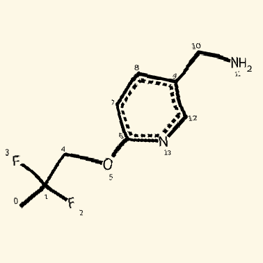 CC(F)(F)COc1ccc(CN)cn1